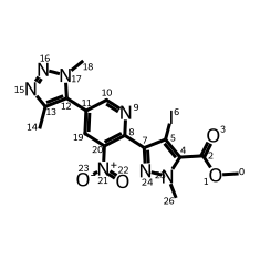 COC(=O)c1c(I)c(-c2ncc(-c3c(C)nnn3C)cc2[N+](=O)[O-])nn1C